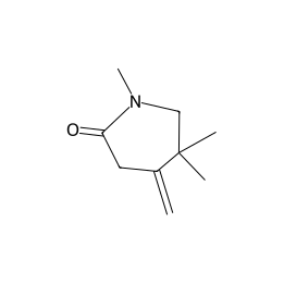 C=C1CC(=O)N(C)CC1(C)C